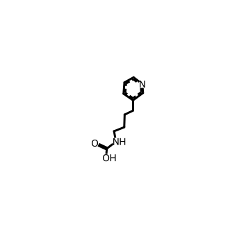 O=C(O)NCCCCc1cccnc1